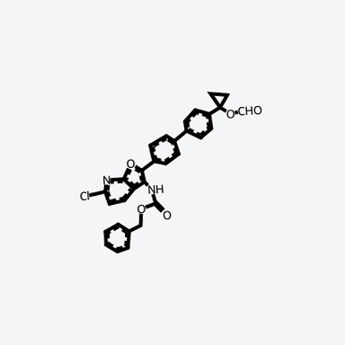 O=COC1(c2ccc(-c3ccc(-c4oc5nc(Cl)ccc5c4NC(=O)OCc4ccccc4)cc3)cc2)CC1